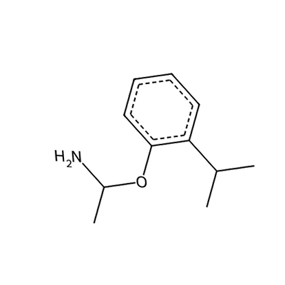 CC(N)Oc1ccccc1C(C)C